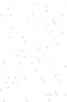 c1ccc2nc(-c3ccc(N(c4ccc(-c5ccc6ccccc6n5)cc4)c4ccc(-c5ccc6c(n5)oc5ccccc56)cc4)cc3)ccc2c1